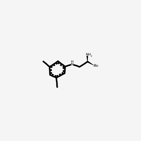 CC[C@H](C)[C@H](N)CNc1cc(C)cc(C)c1